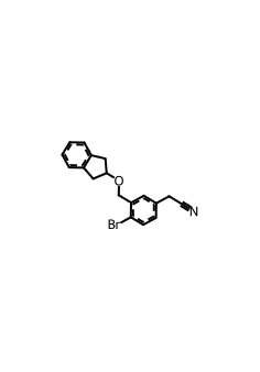 N#CCc1ccc(Br)c(COC2Cc3ccccc3C2)c1